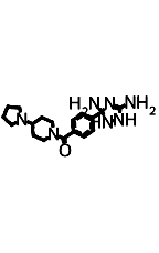 NC1=NC(N)(c2ccc(C(=O)N3CCC(N4CCCC4)CC3)cc2)NN1